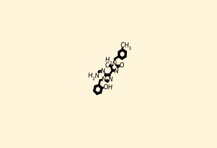 C=C1C(c2ncn(Cc3ccccc3O)c2/N=C\N)=NC(=O)N1Cc1cccc(C)c1